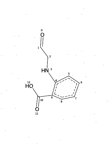 O=CCNc1ccccc1C(=O)O